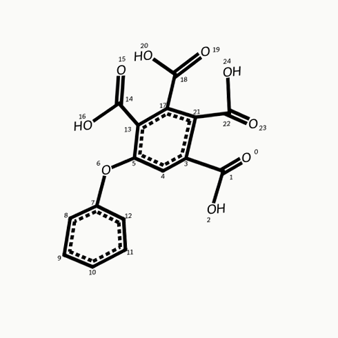 O=C(O)c1cc(Oc2ccccc2)c(C(=O)O)c(C(=O)O)c1C(=O)O